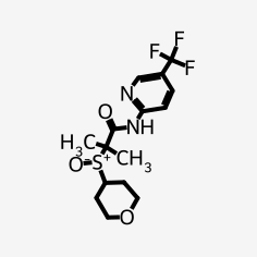 CC(C)(C(=O)Nc1ccc(C(F)(F)F)cn1)[S+]([O-])C1CCOCC1